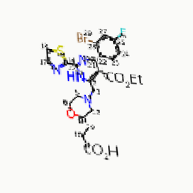 CCOC(=O)C1=C(CN2CCO[C@@H](CCC(=O)O)C2)NC(c2nccs2)=N[C@@H]1c1ccc(F)cc1Br